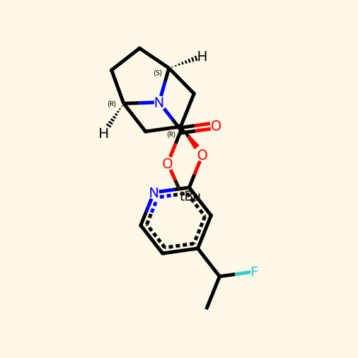 CC(F)c1ccnc(O[C@H]2C[C@H]3CC[C@@H](C2)N3C(=O)OC(C)(C)C)c1